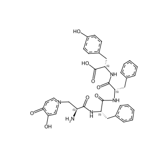 N[C@@H](Cn1ccc(=O)c(O)c1)C(=O)N[C@@H](Cc1ccccc1)C(=O)N[C@@H](Cc1ccccc1)C(=O)N[C@@H](Cc1ccc(O)cc1)C(=O)O